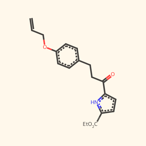 C=CCOc1ccc(CCC(=O)c2ccc(C(=O)OCC)[nH]2)cc1